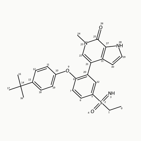 CCS(=N)(=O)c1ccc(Oc2ccc(C(C)(C)C)cc2)c(-c2cn(C)c(=O)c3[nH]ccc23)c1